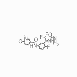 Cn1cc(C(=O)Nc2ccc(F)c([C@H](NC(N)=O)C(F)F)c2)ccc1=O